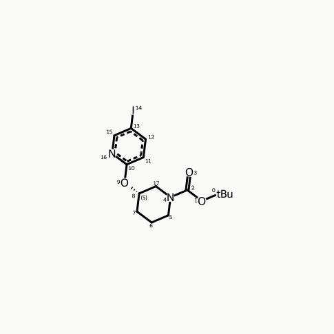 CC(C)(C)OC(=O)N1CCC[C@H](Oc2ccc(I)cn2)C1